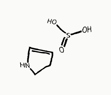 C1=CNCC1.O=S(O)O